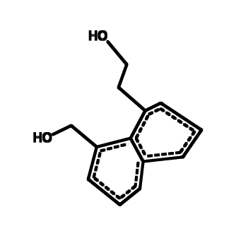 OCCc1cccc2cccc(CO)c12